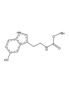 CCCCOC(=O)NCCc1c[nH]c2ccc(O)cc12